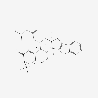 C[C@H](C(=O)O[C@H]1C[C@H]2Cc3c([nH]c4ccccc34)[C@]2(C)[C@@]2(C)CC[C@@]34O[C@@H](C(=O)C=C3[C@]12O)C(C)(C)O4)N(C)C